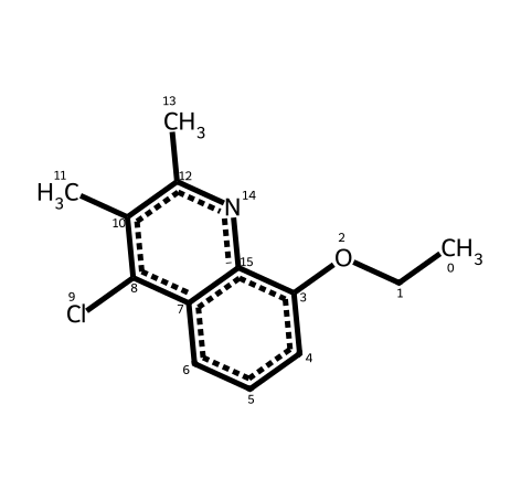 CCOc1cccc2c(Cl)c(C)c(C)nc12